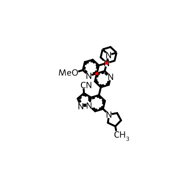 COc1ccc(CN2C3CC2CN(c2ccc(-c4cc(N5CCC(C)C5)cn5ncc(C#N)c45)cn2)C3)cn1